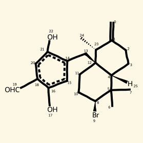 C=C1CC[C@@H]2C(C)(C)[C@@H](Br)CC[C@]2(Cc2cc(O)c(C=O)cc2O)[C@@H]1C